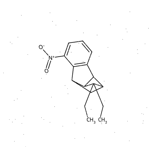 CCC1(CC)C2CC3c4c(cccc4[N+](=O)[O-])C2C31